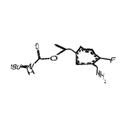 CC(OC(=O)NC(C)(C)C)c1ccc(F)c(N)c1